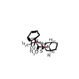 CC(C)(C)OC(=O)N1C[C@H]2CC[C@@H](C1)N2C(=S)NC(=O)c1ccccc1